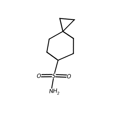 NS(=O)(=O)C1CCC2(CC1)CC2